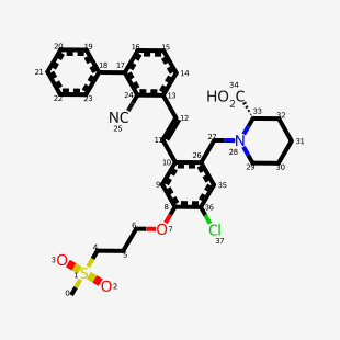 CS(=O)(=O)CCCOc1cc(/C=C/c2cccc(-c3ccccc3)c2C#N)c(CN2CCCC[C@H]2C(=O)O)cc1Cl